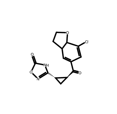 O=C(C1=CC2CCOC2C(Cl)=C1)[C@H]1C[C@@H]1c1noc(=O)[nH]1